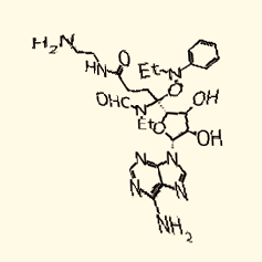 CCN(OC(CCC(=O)NCCN)([C@H]1O[C@@H](n2cnc3c(N)ncnc32)[C@H](O)[C@@H]1O)N(C=O)CC)c1ccccc1